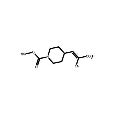 CC(C)(C)OC(=O)N1CCC(/C=C(\C#N)C(=O)O)CC1